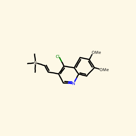 COc1cc2ncc(C=C[Si](C)(C)C)c(Cl)c2cc1OC